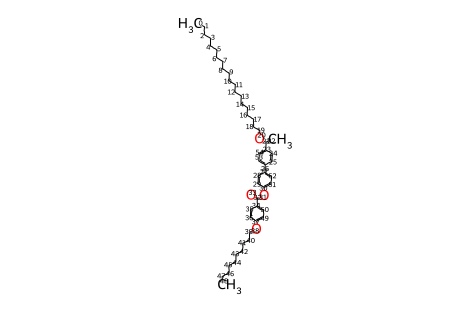 CCCCCCCCCCCCCCCCCCCCOC(C)c1ccc(-c2ccc(OC(=O)c3ccc(OCCCCCCCCCC)cc3)cc2)cc1